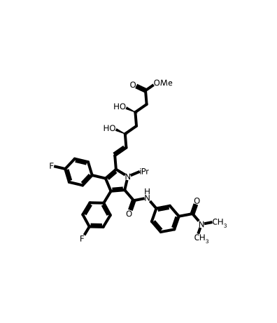 COC(=O)C[C@H](O)C[C@H](O)C=Cc1c(-c2ccc(F)cc2)c(-c2ccc(F)cc2)c(C(=O)Nc2cccc(C(=O)N(C)C)c2)n1C(C)C